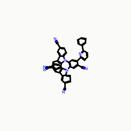 N#Cc1ccc2c(c1)c1cc(C#N)ccc1n2-c1cc(C#N)c(-c2cccc(-c3ccccc3)n2)cc1-n1c2ccc(C#N)cc2c2cc(C#N)ccc21